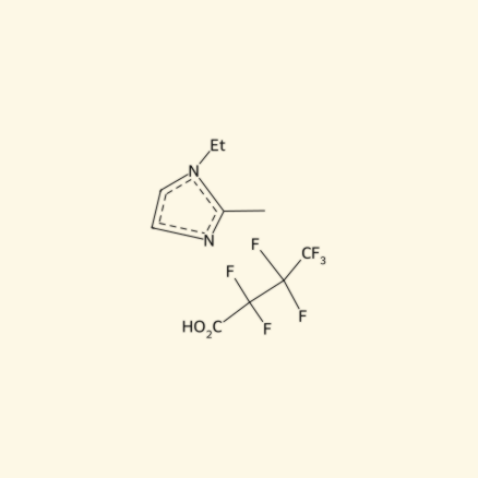 CCn1ccnc1C.O=C(O)C(F)(F)C(F)(F)C(F)(F)F